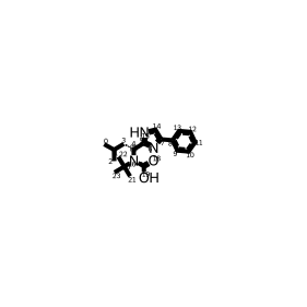 CC(C)C[C@H](c1nc(-c2ccccc2)c[nH]1)N(C(=O)O)C(C)(C)C